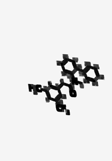 CN(C(=O)Cc1cc(C(F)(F)F)cc(C(F)(F)F)c1)c1ccccc1-c1ccccc1